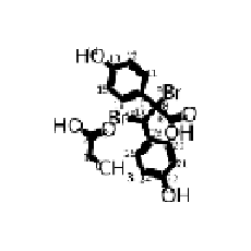 CCC(=O)O.O=C(O)C(Br)(c1ccc(O)cc1)C(Br)c1ccc(O)cc1